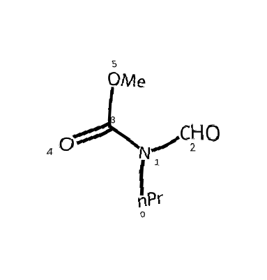 CCCN(C=O)C(=O)OC